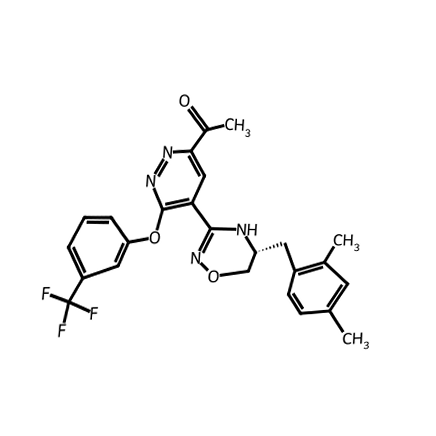 CC(=O)c1cc(C2=NOC[C@@H](Cc3ccc(C)cc3C)N2)c(Oc2cccc(C(F)(F)F)c2)nn1